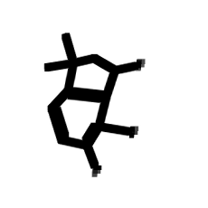 CC1(C)CC(F)c2c1ccc(F)c2F